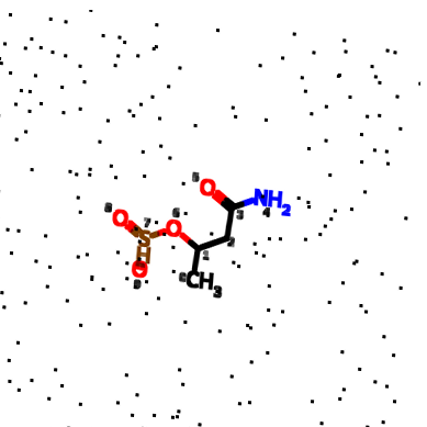 CC(CC(N)=O)O[SH](=O)=O